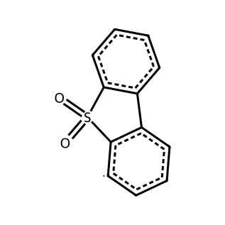 O=S1(=O)c2[c]cccc2-c2ccccc21